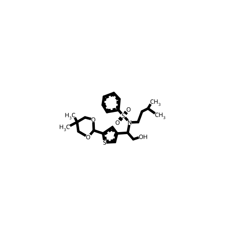 CC(C)CCN(C(CO)c1csc(C2OCC(C)(C)CO2)c1)S(=O)(=O)c1ccccc1